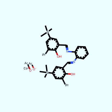 CC(=O)[O-].CC(=O)[O-].CC(C)c1cc([Si](C)(C)C)cc(C=Nc2ccccc2N=Cc2cc([Si](C)(C)C)cc(C(C)C)c2O)c1O.[Co+2]